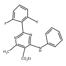 CCOC(=O)c1c(C)nc(-c2c(F)cccc2F)nc1Nc1ccccc1